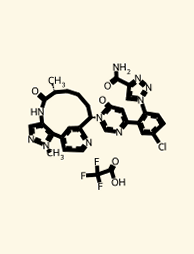 C[C@@H]1CCC[C@H](n2cnc(-c3cc(Cl)ccc3-n3cc(C(N)=O)nn3)cc2=O)c2cc(ccn2)-c2c(cnn2C)NC1=O.O=C(O)C(F)(F)F